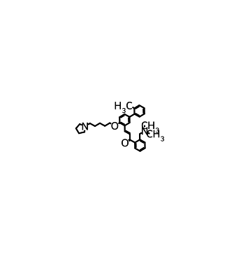 Cc1ccccc1-c1ccc(OCCCCCN2CCCC2)c(C=CC(=O)c2ccccc2CN(C)C)c1